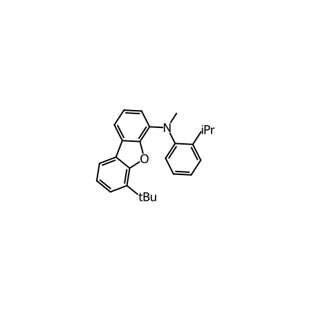 CC(C)c1ccccc1N(C)c1cccc2c1oc1c(C(C)(C)C)cccc12